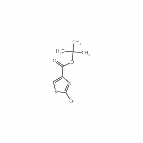 CC(C)(C)OC(=O)c1csc([O])n1